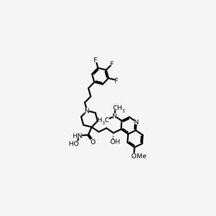 COc1ccc2ncc(N(C)C)c([C@H](O)CCC3(C(=O)NO)CCN(CCCc4cc(F)c(F)c(F)c4)CC3)c2c1